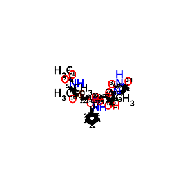 COC(=O)NCC(C)(C)C(=O)SCCO[P@@](=O)(NCc1ccccc1)OC[C@H]1O[C@@H](n2ccc(=O)[nH]c2=O)[C@](C)(Cl)[C@@H]1O